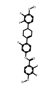 CCOc1ccc(C(=O)Oc2ccc(C3=CCC(c4ccc(OCC)c(F)c4F)CC3)c(F)c2)c(F)c1F